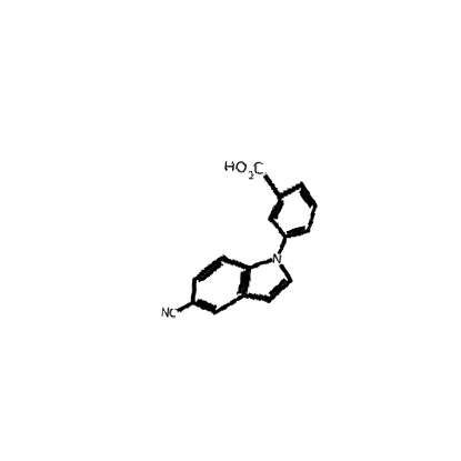 N#Cc1ccc2c(ccn2-c2cccc(C(=O)O)c2)c1